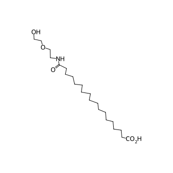 O=C(O)CCCCCCCCCCCCCCCCC(=O)NCCOCCO